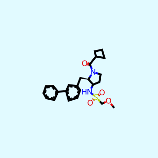 COCS(=O)(=O)NC1CCN(C(=O)C2CCC2)[C@@H]1Cc1cccc(-c2ccccc2)c1